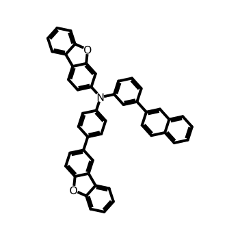 c1cc(-c2ccc3ccccc3c2)cc(N(c2ccc(-c3ccc4oc5ccccc5c4c3)cc2)c2ccc3c(c2)oc2ccccc23)c1